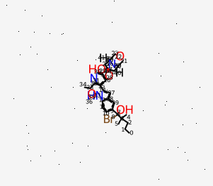 CCCC(C)(C)C(O)(Br)c1ccc2[nH]c(-c3cc([C@H]4C[C@H]5COC[C@@H](C4)N5C(=O)O)cnc3C(C)OC)cc2c1